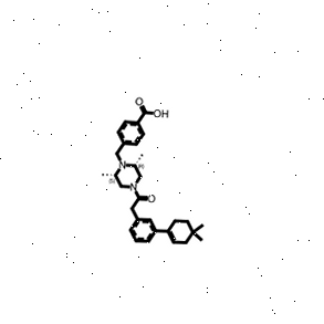 C[C@@H]1CN(C(=O)Cc2cccc(C3=CCC(C)(C)CC3)c2)C[C@H](C)N1Cc1ccc(C(=O)O)cc1